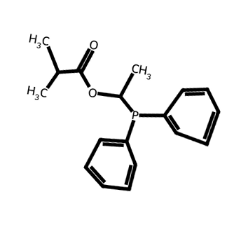 CC(C)C(=O)OC(C)P(c1ccccc1)c1ccccc1